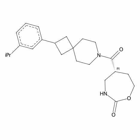 CC(C)c1cccc(C2CC3(CCN(C(=O)[C@@H]4CCOC(=O)NC4)CC3)C2)c1